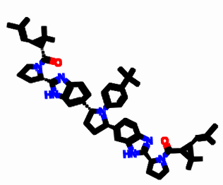 CC(C)=C[C@@H]1C(C(=O)N2CCC[C@H]2c2nc3ccc([C@H]4CC[C@H](c5ccc6nc([C@@H]7CCCN7C(=O)[C@@H]7[C@@H](C=C(C)C)C7(C)C)[nH]c6c5)N4c4ccc(C(C)(C)C)cc4)cc3[nH]2)C1(C)C